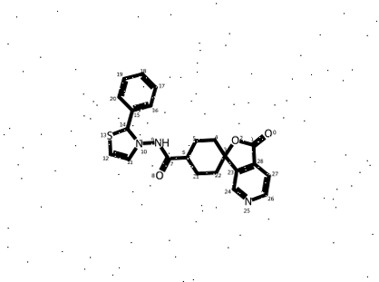 O=C1OC2(CCC(C(=O)NN3C=CSC3c3ccccc3)CC2)c2cnccc21